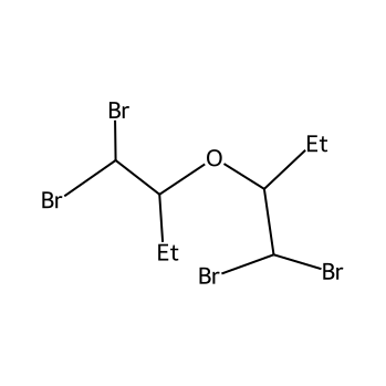 CCC(OC(CC)C(Br)Br)C(Br)Br